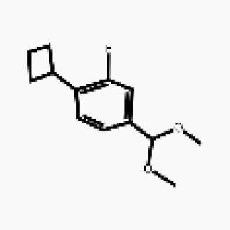 COC(OC)c1ccc(C2CCC2)c(F)c1